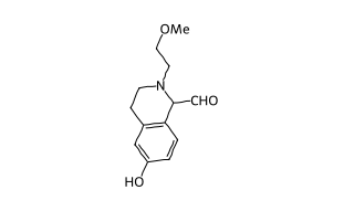 COCCN1CCc2cc(O)ccc2C1C=O